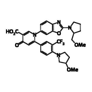 COCC1CCCN1c1nc2ccc(-n3cc(C(=O)O)c(=O)cc3-c3ccc(N4CCC(OC)C4)c(C(F)(F)F)c3)cc2o1